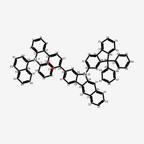 c1ccc(N(c2ccccc2-c2ccc(-c3ccc4c5cc6ccccc6cc5n(-c5ccc6c(c5)C(c5ccccc5)(c5ccccc5)c5ccccc5-6)c4c3)cc2)c2cccc3ccccc23)cc1